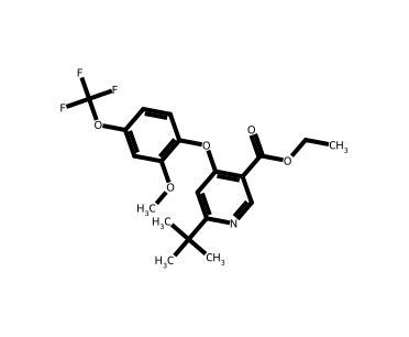 CCOC(=O)c1cnc(C(C)(C)C)cc1Oc1ccc(OC(F)(F)F)cc1OC